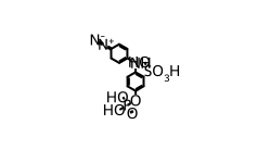 O=S(=O)(O)O.[N-]=[N+]=C1C=CC(Nc2ccc(OP(=O)(O)O)cc2)=CC1